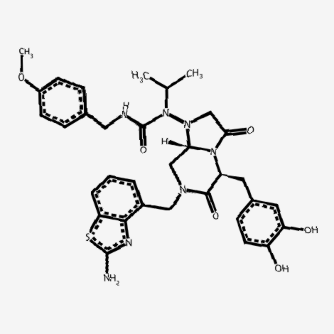 COc1ccc(CNC(=O)N(C(C)C)N2CC(=O)N3[C@@H](Cc4ccc(O)c(O)c4)C(=O)N(Cc4cccc5sc(N)nc45)C[C@@H]32)cc1